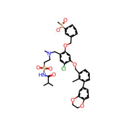 Cc1c(COc2cc(OCc3cccc(S(C)(=O)=O)c3)c(CN(C)CCS(=O)(=O)NC(=O)C(C)C)cc2Cl)cccc1-c1ccc2c(c1)OCCO2